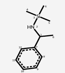 CC(N[Si](C)(C)C)c1ccccc1